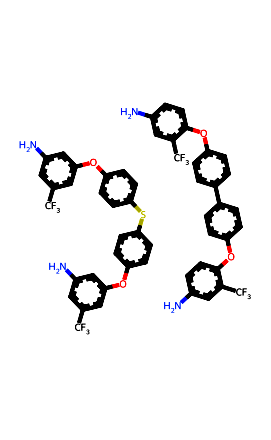 Nc1cc(Oc2ccc(Sc3ccc(Oc4cc(N)cc(C(F)(F)F)c4)cc3)cc2)cc(C(F)(F)F)c1.Nc1ccc(Oc2ccc(-c3ccc(Oc4ccc(N)cc4C(F)(F)F)cc3)cc2)c(C(F)(F)F)c1